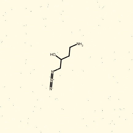 [N-]=[N+]=NCC(O)CCN